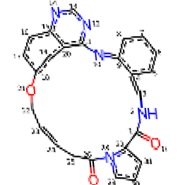 O=C1N/C=c2/cccc/c2=N\c2ncnc3ccc(cc23)OC/C=C\CC(=O)n2cccc21